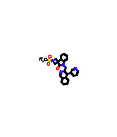 CS(=O)(=O)N1CC2(C1)C(=O)N(Cc1ncc3ccccc3c1-c1cccnc1)c1ccccc12